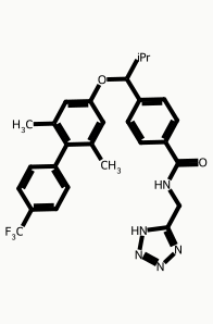 Cc1cc(OC(c2ccc(C(=O)NCc3nnn[nH]3)cc2)C(C)C)cc(C)c1-c1ccc(C(F)(F)F)cc1